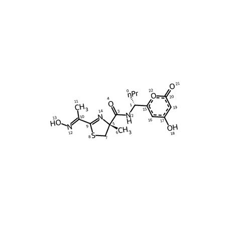 CCC[C@@H](NC(=O)[C@]1(C)CSC(/C(C)=N/O)=N1)c1cc(O)cc(=O)o1